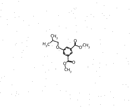 COC(=O)c1cc(OCC(C)C)cc(C(=O)OC)c1